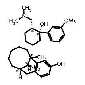 COc1cccc([C@@]2(O)CCCC[C@@H]2CN(C)C)c1.C[C@@]12CCCCC[C@@H](Cc3ccc(O)cc31)[C@@H]2N